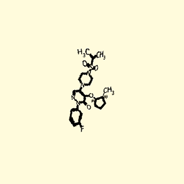 CC(C)S(=O)(=O)N1CCN(c2cnn(-c3cccc(F)c3)c(=O)c2O[C@@H]2CCC[C@H]2C)CC1